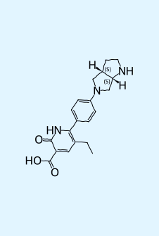 CCc1cc(C(=O)O)c(=O)[nH]c1-c1ccc(N2C[C@@H]3CCN[C@@H]3C2)cc1